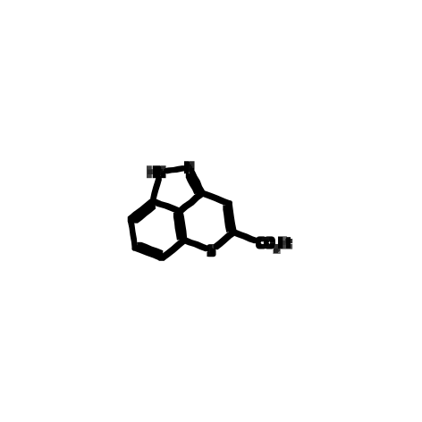 CCOC(=O)C1=Cc2n[nH]c3cccc(c23)S1